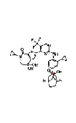 O=C1c2sc(-c3nc(Nc4ccc(N5C[C@H]6CC[C@@H](C5)N6C(=O)O)cc4C4CC4)ncc3C(F)(F)F)cc2S(O)(O)CCN1C1CC1